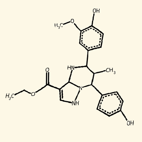 CCOC(=O)C1=CNN2C1NC(c1ccc(O)c(OC)c1)C(C)C2c1ccc(O)cc1